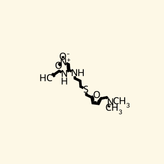 C#CCNC(=C[N+](=O)[O-])NCCCSCc1ccc(CN(C)C)o1